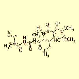 CCCCN(C(=O)[C@@H](C)[C@@H](C)O)C(=O)N(C)CC(=O)N(C)C(=O)NC(=O)N(C)C=O